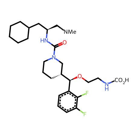 CNC[C@H](CC1CCCCC1)NC(=O)N1CCC[C@@H]([C@@H](OCCNC(=O)O)c2cccc(F)c2F)C1